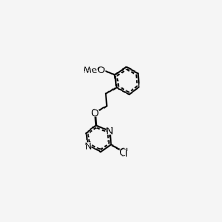 COc1ccccc1CCOc1cncc(Cl)n1